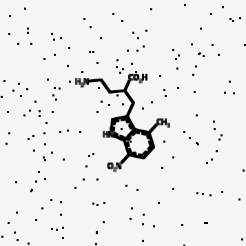 Cc1ccc([N+](=O)[O-])c2[nH]cc(CC(CCN)C(=O)O)c12